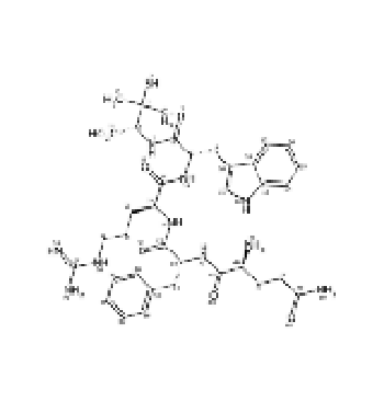 CC(C)(S)[C@H](NC(=O)[C@H](Cc1c[nH]c2ccccc12)NC(=O)[C@H](CCCNC(=N)N)NC(=O)[C@@H](Cc1ccccc1)NC(=O)[C@@H](N)CCC(N)=O)C(=O)O